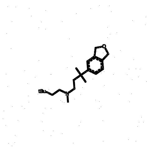 CN(CCC(C)(C)C)CCC(C)(C)c1ccc2c(c1)COC2